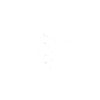 Nc1nc(OC2CCOCC2)cc(N2CCC3(CC2)C[C@H](F)CC(=O)N3c2ccc(F)c(F)c2)n1